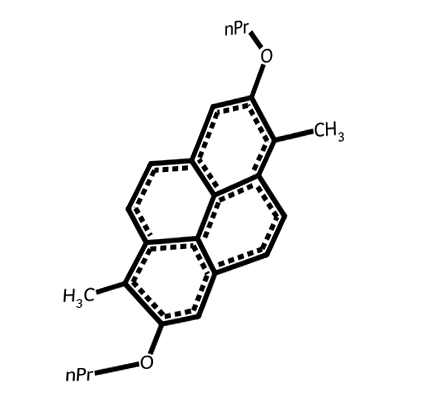 CCCOc1cc2ccc3c(C)c(OCCC)cc4ccc(c1C)c2c43